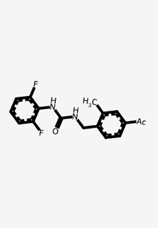 CC(=O)c1ccc(CNC(=O)Nc2c(F)cccc2F)c(C)c1